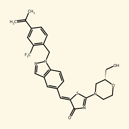 C=C(C)c1ccc(Cn2ncc3cc(/C=C4\SC(N5CCO[C@@H](CO)C5)=NC4=O)ccc32)c(C(F)(F)F)c1